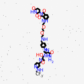 NC(=O)c1nn(-c2ccc(CNCCOCCOCCNc3cccc4c3C(=O)N(C3CCC(=O)NC3=O)C4=O)cc2)cc1NC(O)c1coc(-c2ccnc(NCC(F)(F)F)c2)n1